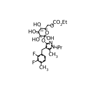 CCOC(=O)OC[C@H]1O[C@@](O)(Oc2nn(C(C)C)c(C)c2Cc2ccc(C)c(F)c2F)[C@H](O)[C@@H](O)[C@@H]1O